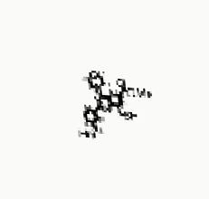 COC(=O)c1cc(CS)c2nc(-c3cccc(CO)c3)nc(N3CCOCC3)c2n1